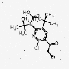 CC(C)(C)c1cc(C(=O)CBr)c(Cl)nc1N(C(=O)O)C(C)(C)C